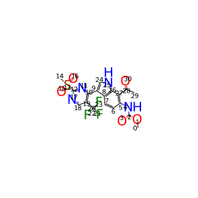 COC(=O)Nc1ccc2c(-c3nc(S(C)(=O)=O)ncc3C(F)(F)F)c[nH]c2c1C(C)=O